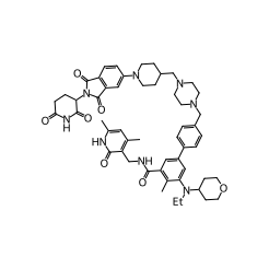 CCN(c1cc(-c2ccc(CN3CCN(CC4CCN(c5ccc6c(c5)C(=O)N(C5CCC(=O)NC5=O)C6=O)CC4)CC3)cc2)cc(C(=O)NCc2c(C)cc(C)[nH]c2=O)c1C)C1CCOCC1